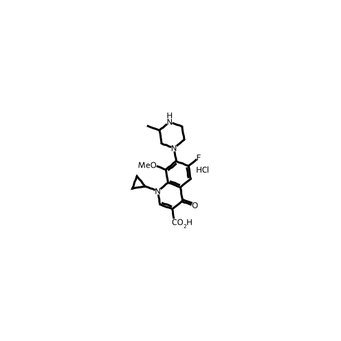 COc1c(N2CCNC(C)C2)c(F)cc2c(=O)c(C(=O)O)cn(C3CC3)c12.Cl